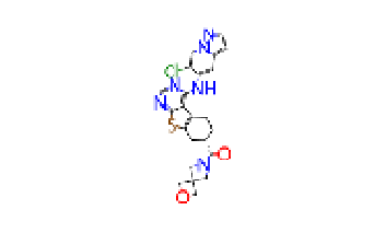 O=C([C@H]1CCc2c(sc3ncnc(Nc4cc5ccnn5cc4Cl)c23)C1)N1CC2(COC2)C1